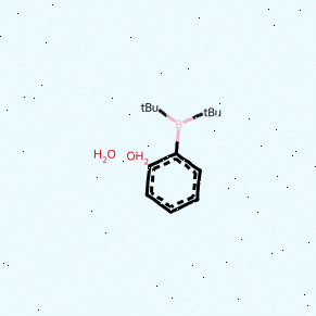 CC(C)(C)B(c1ccccc1)C(C)(C)C.O.O